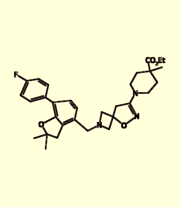 CCOC(=O)C1(C)CCN(C2=NOC3(C2)CN(Cc2ccc(-c4ccc(F)cc4)c4c2CC(C)(C)O4)C3)CC1